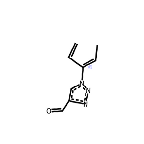 C=C/C(=C\C)n1cc(C=O)nn1